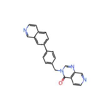 O=c1c2ccncc2ncn1Cc1ccc(-c2ccc3ccncc3c2)cc1